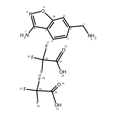 NCc1ccc2c(N)noc2c1.O=C(O)C(F)(F)F.O=C(O)C(F)(F)F